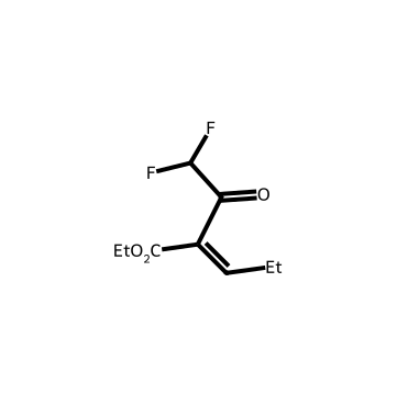 CCC=C(C(=O)OCC)C(=O)C(F)F